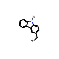 CCn1c2ccccc2c2cc(CC(C)(C)C)ccc21